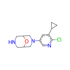 Clc1ncc(N2CC3CNCC(C2)O3)cc1C1CC1